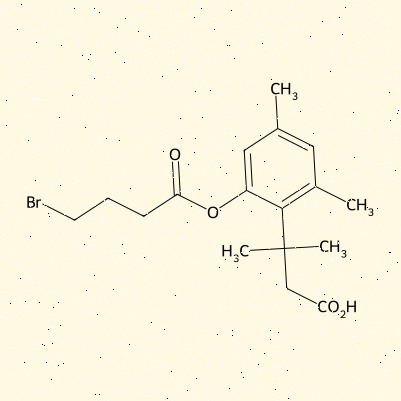 Cc1cc(C)c(C(C)(C)CC(=O)O)c(OC(=O)CCCBr)c1